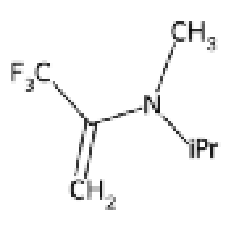 C=C(N(C)C(C)C)C(F)(F)F